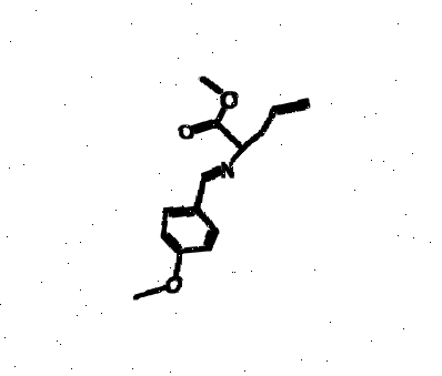 C=CCC(N=Cc1ccc(OC)cc1)C(=O)OC